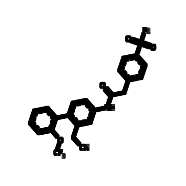 CCS(=O)(=O)c1ccc(CC(=O)Nc2ccc(-c3ccccc3OC(F)(F)F)c(CC#N)c2)cc1